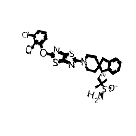 CC(C)(C[C@@H]1c2ccccc2CC12CCN(c1nc3sc(Oc4cccc(Cl)c4Cl)nc3s1)CC2)[S+](N)[O-]